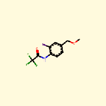 COCc1ccc(NC(=O)C(F)(F)F)c(I)c1